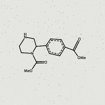 COC(=O)c1ccc(C2CNCCN2C(=O)OC)cc1